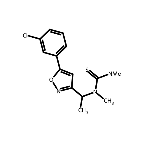 CNC(=S)N(C)C(C)c1cc(-c2cccc(Cl)c2)on1